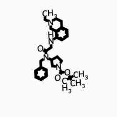 CCN1CCc2cccc(NCC(=O)N(Cc3ccccc3)C3CCN(C(=O)OC(C)(C)C)C3)c2C1